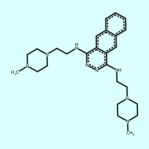 CN1CCN(CCNc2nnc(NCCN3CCN(C)CC3)c3cc4ccccc4cc23)CC1